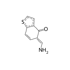 NC=C1C=Cc2sccc2C1=O